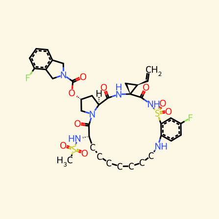 C=C[C@@H]1C[C@@]12NC(=O)[C@@H]1C[C@@H](OC(=O)N3Cc4cccc(F)c4C3)CN1C(=O)[C@@H](NS(C)(=O)=O)CCCCCCCNc1ccc(F)cc1S(=O)(=O)NC2=O